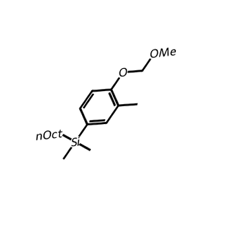 CCCCCCCC[Si](C)(C)c1ccc(OCOC)c(C)c1